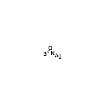 [Ag].[Ni].[O]=[Bi]